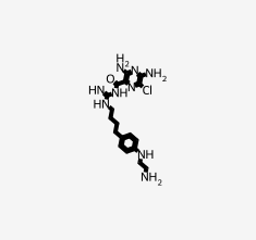 N=C(NCCCCc1ccc(NCCN)cc1)NC(=O)c1nc(Cl)c(N)nc1N